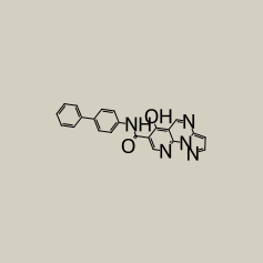 O=C(Nc1ccc(-c2ccccc2)cc1)c1cnc2c(cnc3ccnn32)c1O